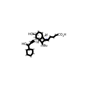 CCCCC1/C(=C/CCCC(=O)O)[C@@H]2CC[C@H](O)[C@@H](C#CC(O)C3CCCCC3)[C@H]12